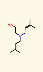 CC(C)=CCN(CC=C(C)C)CCO